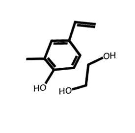 C=Cc1ccc(O)c(C)c1.OCCO